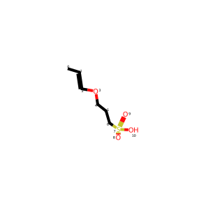 CC=COCCCS(=O)(=O)O